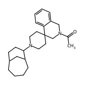 CC(=O)N1Cc2ccccc2C2(CCN(C3CCC4CCCCC3C4)CC2)C1